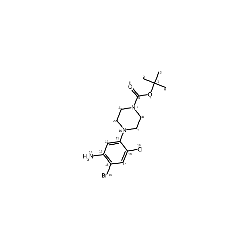 CC(C)(C)OC(=O)N1CCN(c2cc(N)c(Br)cc2Cl)CC1